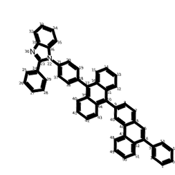 c1ccc(-c2cc3ccc(-c4c5ccccc5c(-c5ccc(-n6c(-c7ccccc7)nc7ccccc76)cc5)c5ccccc45)cc3c3ccccc23)cc1